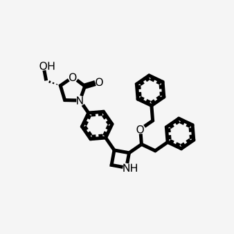 O=C1O[C@@H](CO)CN1c1ccc(C2CNC2C(Cc2ccccc2)OCc2ccccc2)cc1